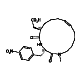 CN1CCCCC=CCCC[C@H](CC(=O)O)C(=O)N[C@@H](Cc2ccc([N+](=O)[O-])cc2)C1=O